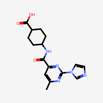 Cc1cc(C(=O)NC2CCC(C(=O)O)CC2)nc(-n2ccnc2)n1